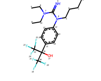 CCCCN(C(=N)N(CC)CC)c1ccc(C(O)(C(F)(F)F)C(F)(F)F)cc1